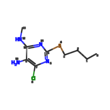 CCCCSc1nc(Cl)c(N)c(NC)n1